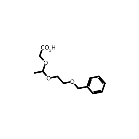 CC(OCCOCc1ccccc1)OCC(=O)O